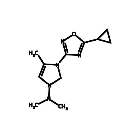 CC1=CN(N(C)C)CN1c1noc(C2CC2)n1